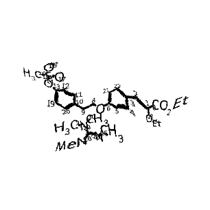 CCOC(=O)C(=Cc1ccc(OCCc2ccc(OS(C)(=O)=O)cc2)cc1)OCC.CN=C(NC)N(C)C